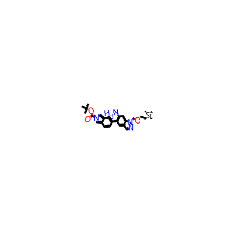 CC(C)(C)OC(=O)n1cc2ccc(-c3cc4cnn(COCC[Si](C)(C)C)c4cc3N)cc2c1